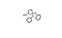 OC1=CC=CC(Oc2ccccc2)(Oc2ccccc2)C1